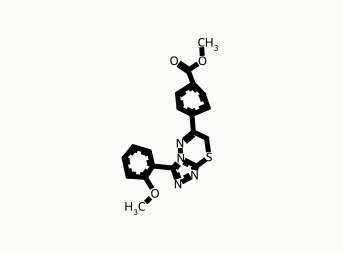 COC(=O)c1ccc(C2=Nn3c(nnc3-c3ccccc3OC)SC2)cc1